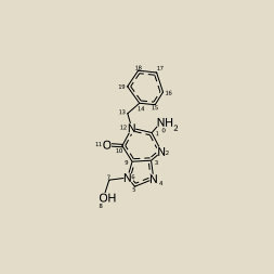 Nc1nc2ncn(CO)c2c(=O)n1Cc1ccccc1